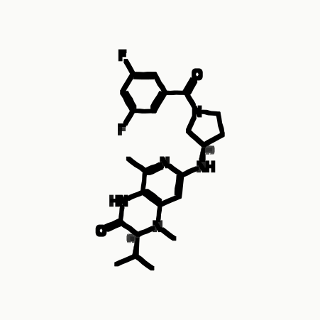 Cc1nc(N[C@@H]2CCN(C(=O)c3cc(F)cc(F)c3)C2)cc2c1NC(=O)[C@H](C(C)C)N2C